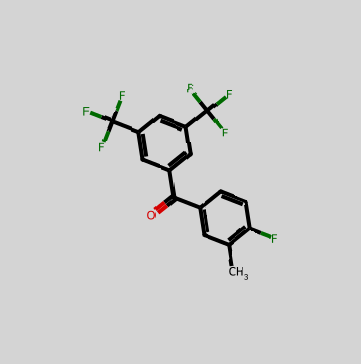 Cc1cc(C(=O)c2cc(C(F)(F)F)cc(C(F)(F)F)c2)ccc1F